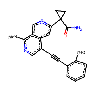 CNc1ncc(C#Cc2ccccc2C=O)c2cc(C3(C(N)=O)CC3)ncc12